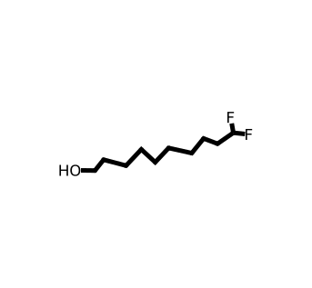 OCCCCCCCCCC(F)F